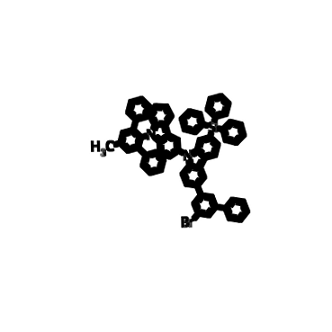 Cc1cc(-c2ccccc2)c(-n2c3ccccc3c3cc(-n4c5ccc(-c6cc(Br)cc(-c7ccccc7)c6)cc5c5ccc([Si](c6ccccc6)(c6ccccc6)c6ccccc6)cc54)ccc32)c(-c2ccccc2)c1